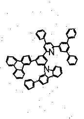 c1ccc(-c2cc(-c3ccccc3)cc(-c3cc(-c4ccccc4)cc(-c4cc(-c5ccc6c7ccccc7c7ccccc7c6c5)cc(-n5c6ccccc6c6ccc(-c7ccccc7)cc65)c4)n3)c2)cc1